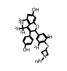 [2H]c1cc(C2Oc3cc(O)cc([2H])c3C(C([2H])([2H])[2H])=C2c2ccc(O)cc2)cc([2H])c1SC1CN(CCC)C1